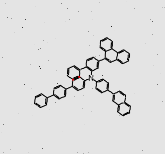 c1ccc(-c2ccc(-c3ccc(N(c4ccc(-c5ccc6ccccc6c5)cc4)c4cc(-c5cc6ccccc6c6ccccc56)ccc4-c4ccccc4)cc3)cc2)cc1